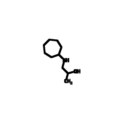 CC(O)CNC1CCCCCC1